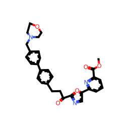 COC(=O)c1cccc(-c2cnc(C(=O)CCc3ccc(-c4ccc(CN5CCOCC5)cc4)cc3)o2)n1